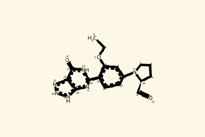 CCOc1cc(N2CCC[C@H]2C=O)ccc1-c1nc2[nH]nnc2c(=O)[nH]1